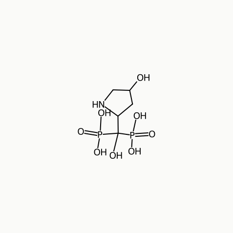 O=P(O)(O)C(O)(C1CC(O)CN1)P(=O)(O)O